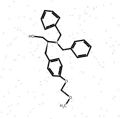 COCOc1ccc(C[C@@H](CO)N(Cc2ccccc2)Cc2ccccc2)cc1